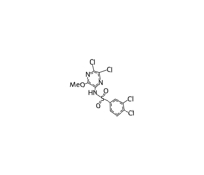 COc1nc(Cl)c(Cl)nc1NS(=O)(=O)c1ccc(Cl)c(Cl)c1